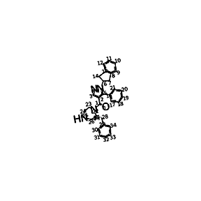 O=C(c1cnn(C2Cc3ccccc3C2)c1-c1ccccc1)N1CCNC[C@H]1Cc1ccccc1